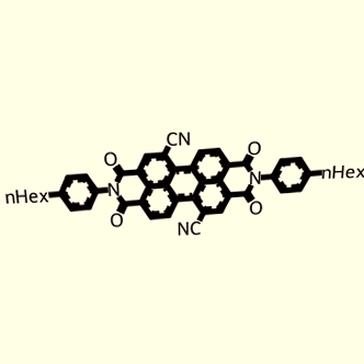 CCCCCCc1ccc(N2C(=O)c3ccc4c5c(C#N)cc6c7c(ccc(c8c(C#N)cc(c3c48)C2=O)c75)C(=O)N(c2ccc(CCCCCC)cc2)C6=O)cc1